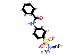 CCCN(CCC)S(=O)(=O)c1ccc(NC(=O)c2ccccc2)cc1